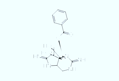 N=C1NC2CNC(=N)N3C[C@H](OC(=O)c4ccccc4)C(O)(O)[C@@]23N1